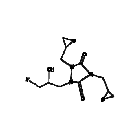 O=c1n(CC2CO2)c(=O)n(CC2CO2)n1CC(O)CF